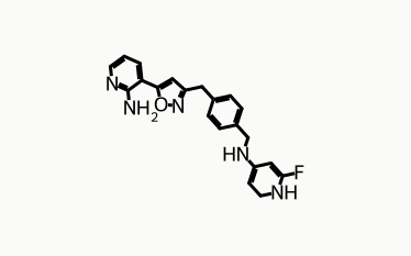 Nc1ncccc1-c1cc(Cc2ccc(CNC3=CCNC(F)=C3)cc2)no1